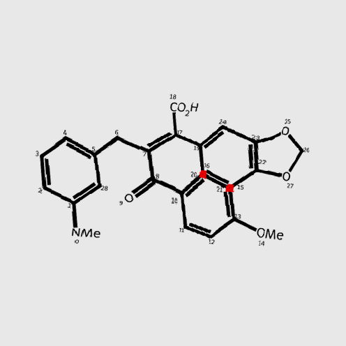 CNc1cccc(C/C(C(=O)c2ccc(OC)cc2)=C(\C(=O)O)c2ccc3c(c2)OCO3)c1